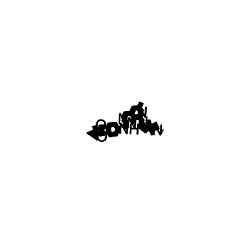 Cc1cc2cnc(NC3CCN(S(=O)(=O)C4(C)CC4)CC3)nc2c(N2CCC3(CN(C)C3)C2)n1